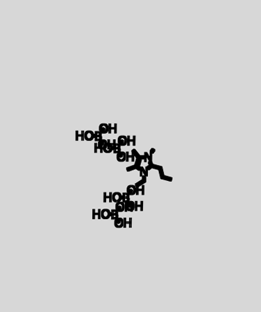 CCCC1N(C)C(C)=C(C)N1CC.OB(O)O.OB(O)O.OB(O)O.OB(O)O